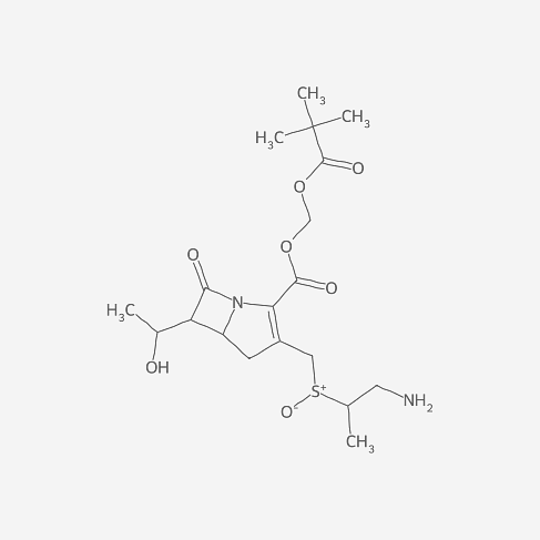 CC(O)C1C(=O)N2C(C(=O)OCOC(=O)C(C)(C)C)=C(C[S+]([O-])C(C)CN)CC12